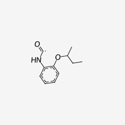 CCC(C)Oc1ccccc1N[C]=O